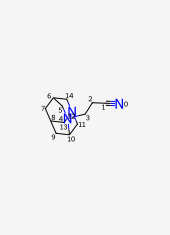 N#CCCN1CC2CC3CC1CN(C3)C2